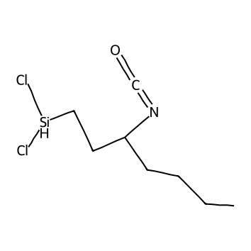 CCCCC(CC[SiH](Cl)Cl)N=C=O